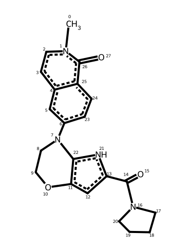 Cn1ccc2cc(N3CCOc4cc(C(=O)N5CCCC5)[nH]c43)ccc2c1=O